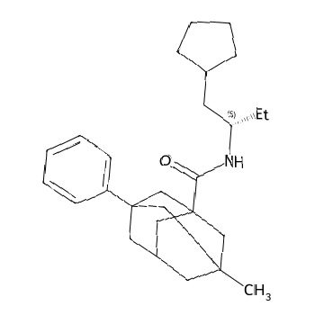 CC[C@@H](CC1CCCC1)NC(=O)C12CC3CC(C)(C1)CC(c1ccccc1)(C3)C2